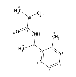 Cc1cccnc1C(C)NC(=O)C(C)C